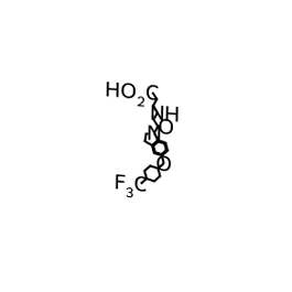 O=C(O)CCNCC(=O)N1CCc2cc(OC3CCC(C(F)(F)F)CC3)ccc21